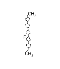 CCCC1CCC(c2ccc(C3CCC(C4CCC(c5ccc(CC)cc5)CC4)CC3)c(F)c2)CC1